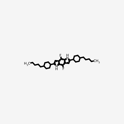 CCCCCC1CCC(c2cc3c(F)c4[nH]c(C5CCC(CCCCC)CC5)cc4c(F)c3[nH]2)CC1